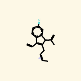 C=CC1=C(C/C=C\C)C(C(=C)C)c2cc(F)ccc21